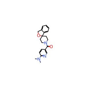 CN(C)c1ccc(C(=O)N2CCC3(CC2)OCc2ccccc23)cn1